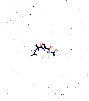 CC(=O)NC(=O)c1coc(C(C)(C)NC(C)C)n1